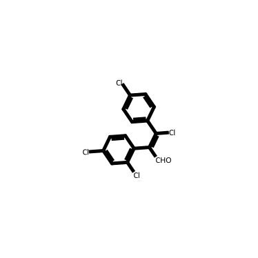 O=CC(=C(Cl)c1ccc(Cl)cc1)c1ccc(Cl)cc1Cl